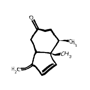 C=C1C=C[C@]2(C)C1CC(=O)C[C@H]2C